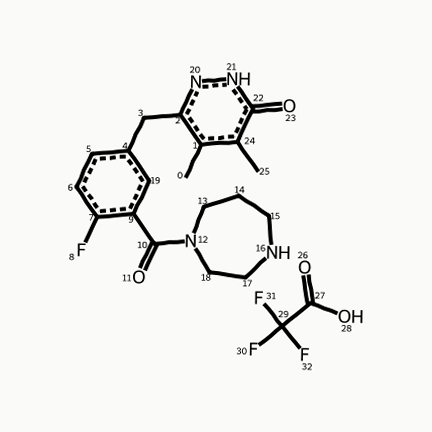 Cc1c(Cc2ccc(F)c(C(=O)N3CCCNCC3)c2)n[nH]c(=O)c1C.O=C(O)C(F)(F)F